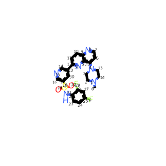 CN1CCN(c2ccnc3ccc(-c4cncc(S(=O)(=O)Nc5ccc(F)cc5F)c4)nc23)CC1